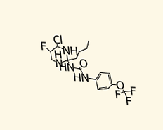 CCCCC1(NC(=O)Nc2ccc(OC(F)(F)F)cc2)NCC(F)C(Cl)N1